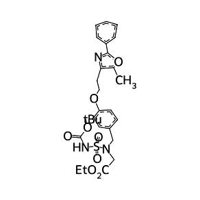 CCOC(=O)CN(Cc1ccc(OCCc2nc(-c3ccccc3)oc2C)cc1)S(=O)(=O)NC(=O)OC(C)(C)C